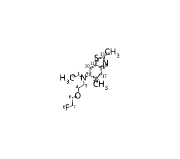 CCN(CCOCCF)c1cc2sc(C)nc2cc1C